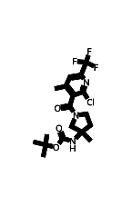 Cc1cc(C(F)(F)F)nc(Cl)c1C(=O)N1CCC(C)(NC(=O)OC(C)(C)C)C1